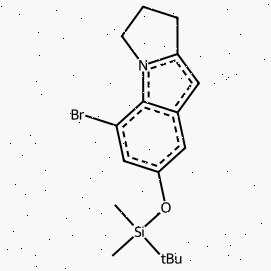 CC(C)(C)[Si](C)(C)Oc1cc(Br)c2c(c1)cc1n2CCC1